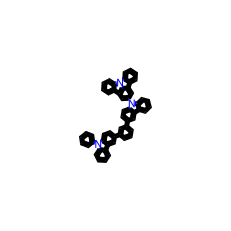 c1ccc(-n2c3ccccc3c3cc(-c4cccc(-c5ccc6c(c5)c5ccccc5n6-c5cc6c7ccccc7n7c8ccccc8c(c5)c67)c4)ccc32)cc1